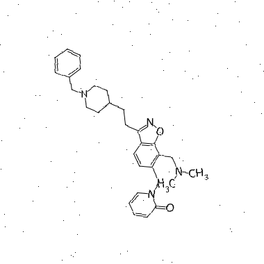 CN(C)Cc1c(Cn2ccccc2=O)ccc2c(CCC3CCN(Cc4ccccc4)CC3)noc12